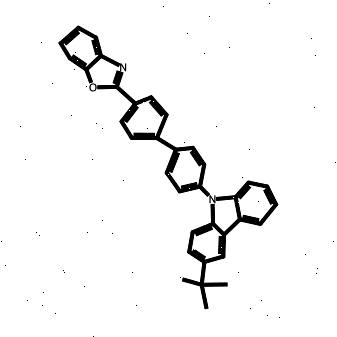 CC(C)(C)c1ccc2c(c1)c1ccccc1n2-c1ccc(-c2ccc(-c3nc4ccccc4o3)cc2)cc1